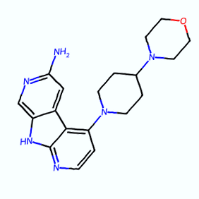 Nc1cc2c(cn1)[nH]c1nccc(N3CCC(N4CCOCC4)CC3)c12